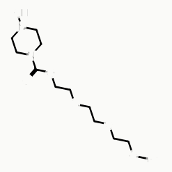 CC(C)OCCOCCOCCOC(=O)N1CCN(C)CC1